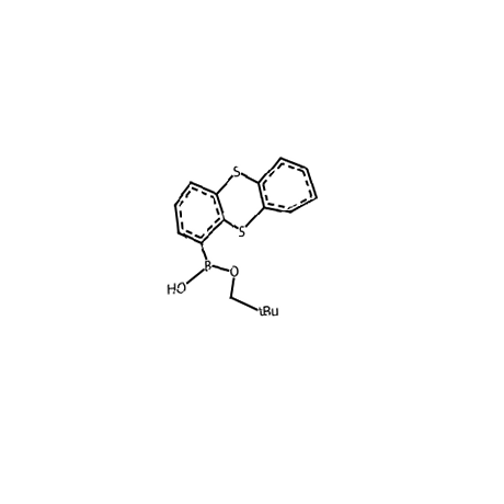 CC(C)(C)COB(O)c1cccc2c1Sc1ccccc1S2